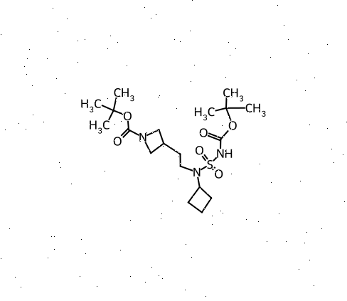 CC(C)(C)OC(=O)NS(=O)(=O)N(CCC1CN(C(=O)OC(C)(C)C)C1)C1CCC1